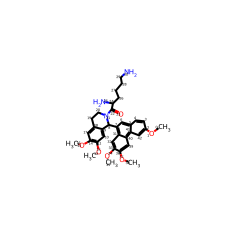 COc1ccc2cc(C3c4cc(OC)c(OC)cc4CCN3C(=O)C(N)CCCCN)c3cc(OC)c(OC)cc3c2c1